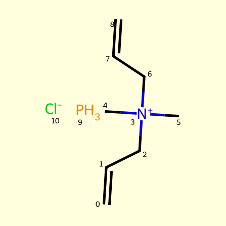 C=CC[N+](C)(C)CC=C.P.[Cl-]